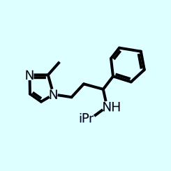 Cc1nccn1CCC(NC(C)C)c1ccccc1